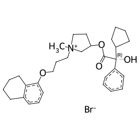 C[N+]1(CCCOc2cccc3c2CCCC3)CCC(OC(=O)[C@](O)(c2ccccc2)C2CCCC2)C1.[Br-]